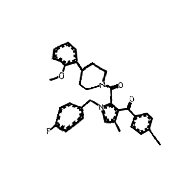 COc1ccccc1C1CCN(C(=O)c2c(C(=O)c3ccc(C)cc3)c(C)cn2Cc2ccc(F)cc2)CC1